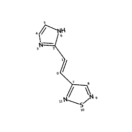 C(=Cc1ncc[nH]1)c1cnsn1